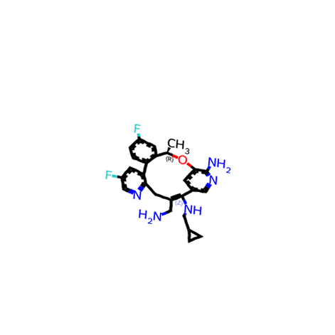 C[C@H]1Oc2cc(cnc2N)/C(NCC2CC2)=C(/CN)Cc2ncc(F)cc2-c2ccc(F)cc21